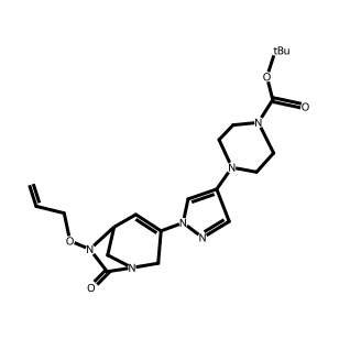 C=CCON1C(=O)N2CC(n3cc(N4CCN(C(=O)OC(C)(C)C)CC4)cn3)=CC1C2